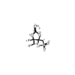 C=C1OC(F)(CF)C(F)(CS(=O)(=O)F)O1